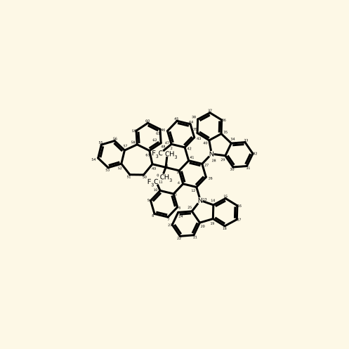 CC(C)(c1c(-c2ccccc2C(F)(F)F)c(-n2c3ccccc3c3ccccc32)cc(-n2c3ccccc3c3ccccc32)c1-c1ccccc1C(F)(F)F)C1CCc2ccccc2-c2ccccc21